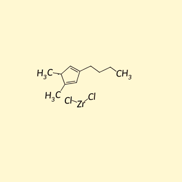 CCCCC1=C[C](C)C(C)=C1.[Cl][Zr][Cl]